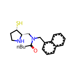 CCCCC(=O)N(Cc1cccc2ccccc12)C[C@@H]1NCC[C@@H]1S